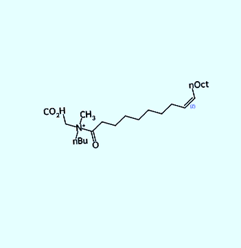 CCCCCCCC/C=C\CCCCCCCC(=O)[N+](C)(CCCC)CC(=O)O